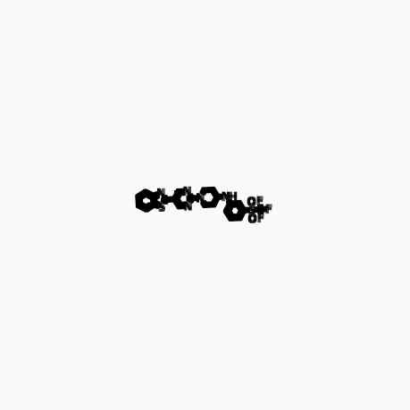 O=S(=O)(c1cccc(NC2CCN(c3n[c]c(-c4nc5ccccc5s4)cn3)CC2)c1)C(F)(F)F